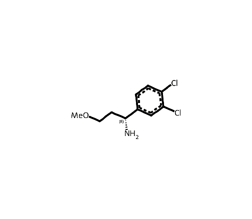 COCC[C@@H](N)c1ccc(Cl)c(Cl)c1